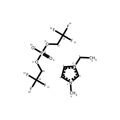 CCn1cc[n+](C)c1.O=P([O-])(OCC(F)(F)F)OCC(F)(F)F